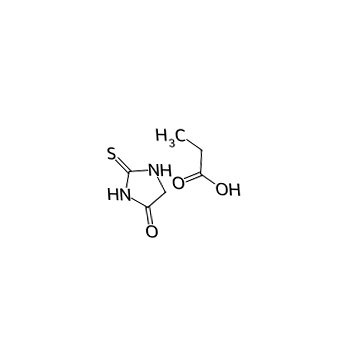 CCC(=O)O.O=C1CNC(=S)N1